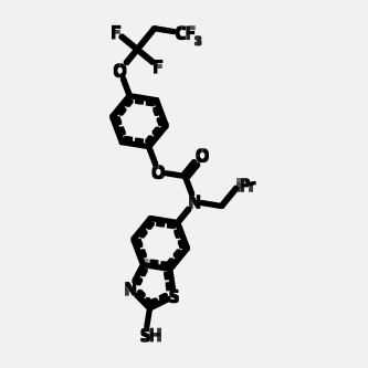 CC(C)CN(C(=O)Oc1ccc(OC(F)(F)CC(F)(F)F)cc1)c1ccc2nc(S)sc2c1